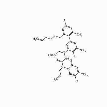 C=CCCCCc1cc(F)cc(C)c1-c1cc([C@H](CC(=O)OCC)NC(=O)[C@H](CC=C)n2nc(Cl)c(C(F)(F)F)cc2=O)c(F)c(C(F)(F)F)c1